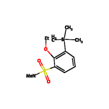 CCOc1c([Si](C)(C)C)cccc1S(=O)(=O)NC